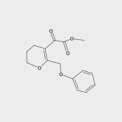 COC(=O)C(=O)C1=C(COc2ccccc2)OCCC1